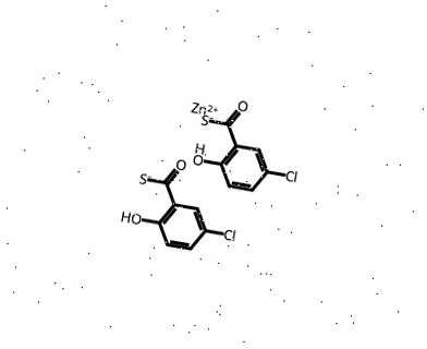 O=C([S-])c1cc(Cl)ccc1O.O=C([S-])c1cc(Cl)ccc1O.[Zn+2]